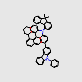 CC1(C)c2ccccc2-c2c(N(c3ccc(-c4ccc5c(c4)c4ccccc4n5-c4ccccc4)cc3)c3ccccc3C3=c4c(C5CCCCC5)cccc4=CCC3)cccc21